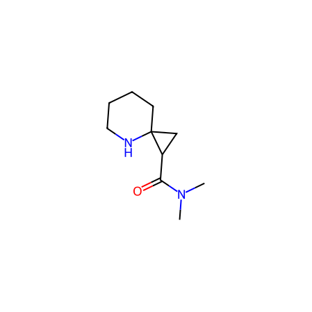 CN(C)C(=O)C1CC12CCCCN2